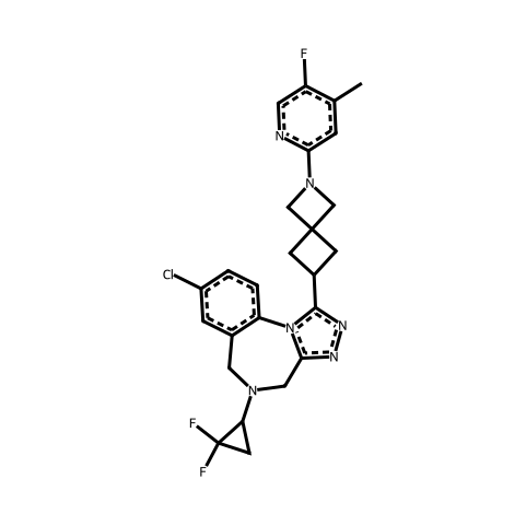 Cc1cc(N2CC3(CC(c4nnc5n4-c4ccc(Cl)cc4CN(C4CC4(F)F)C5)C3)C2)ncc1F